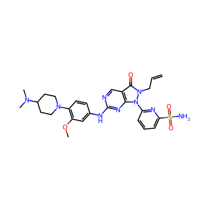 C=CCn1c(=O)c2cnc(Nc3ccc(N4CCC(N(C)C)CC4)c(OC)c3)nc2n1-c1cccc(S(N)(=O)=O)n1